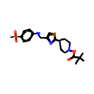 CC(C)(C)C(=O)ON1CCC(c2nc(CNc3ccc(S(C)(=O)=O)cc3)cs2)CC1